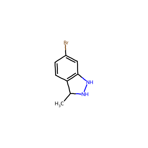 CC1NNc2cc(Br)ccc21